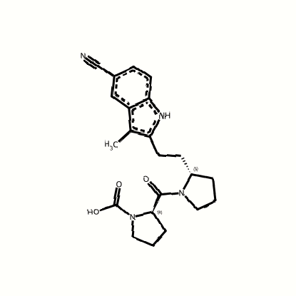 Cc1c(CC[C@@H]2CCCN2C(=O)[C@H]2CCCN2C(=O)O)[nH]c2ccc(C#N)cc12